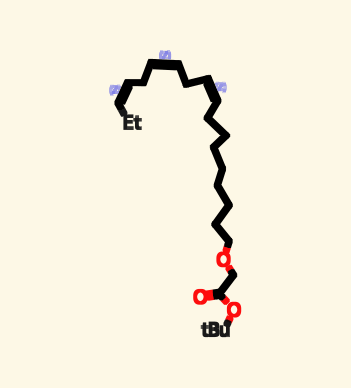 CC/C=C\C/C=C\C/C=C\CCCCCCCCOCC(=O)OC(C)(C)C